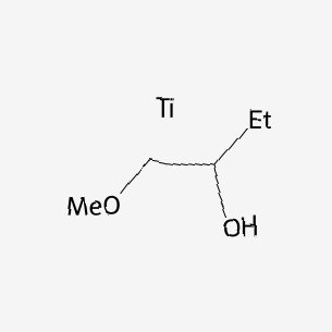 CCC(O)COC.[Ti]